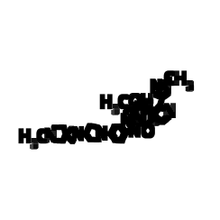 CN1CCC2(CC1)CN(C1CCN(c3ccc4nc(NC(=O)c5ccnc(-c6cnn(C)c6)c5F)n(CC(C)(C)O)c4c3)CC1)C2